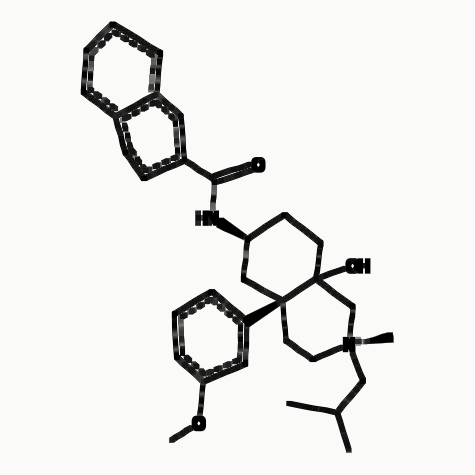 COc1cccc([C@]23CC[N@@+](C)(CC(C)C)CC2(O)CC[C@H](NC(=O)c2ccc4ccccc4c2)C3)c1